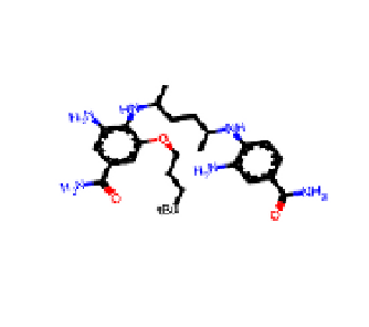 CC(CCC(C)Nc1c(N)cc(C(N)=O)cc1OCCCC(C)(C)C)Nc1ccc(C(N)=O)cc1N